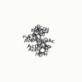 CC(=O)O[C@H]1[C@H]2[C@H]([C@@H]3[C@H]4OC(=O)[C@@](C)(O)[C@@]5(C)C(=O)C[C@@H](C)[C@@H]([C@@H]45)[C@@]3(C)[C@H]1OC(C)=O)[C@@H](OC(C)=O)C(=O)[C@H]1C[C@@H]3O[C@@H]3[C@H](OC(C)=O)[C@]21C